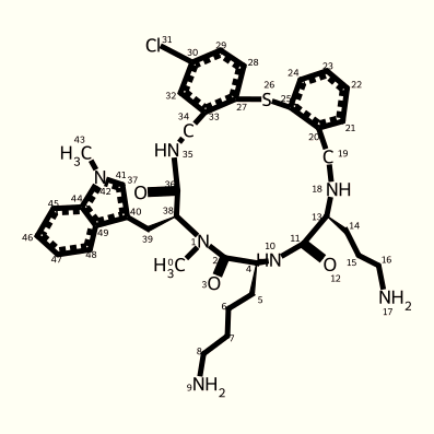 CN1C(=O)[C@H](CCCCN)NC(=O)[C@H](CCCN)NCc2ccccc2Sc2ccc(Cl)cc2CNC(=O)[C@@H]1Cc1cn(C)c2ccccc12